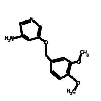 COc1ccc(COc2cncc(N)c2)cc1OC